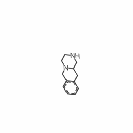 c1ccc2c(c1)CC1CNCCN1C2